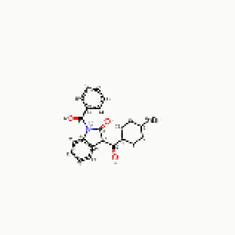 CCCCC1CCC(C(=O)C2C(=O)N(C(=O)c3ccccc3)c3ccccc32)CC1